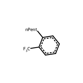 CC[CH]CCc1ccccc1C(F)(F)F